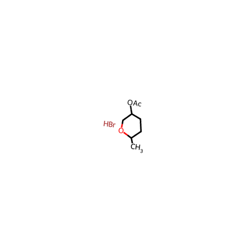 Br.CC(=O)OC1CCC(C)OC1